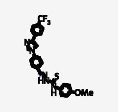 COc1ccc(NC(=S)N/N=C/c2ccc(-n3cnc(-c4ccc(C(F)(F)F)cc4)c3)cc2)cc1